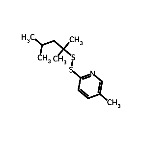 Cc1ccc(SSC(C)(C)CC(C)C)nc1